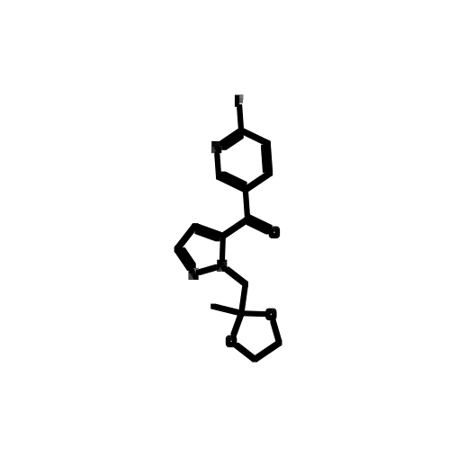 CC1(Cn2nccc2C(=O)c2ccc(F)nc2)OCCO1